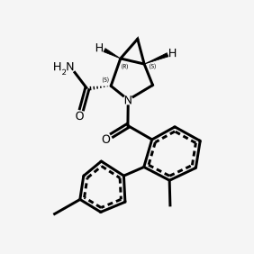 Cc1ccc(-c2c(C)cccc2C(=O)N2C[C@H]3C[C@H]3[C@H]2C(N)=O)cc1